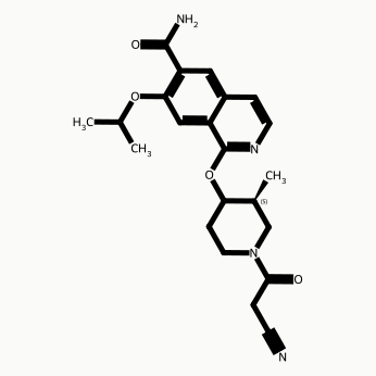 CC(C)Oc1cc2c(OC3CCN(C(=O)CC#N)C[C@@H]3C)nccc2cc1C(N)=O